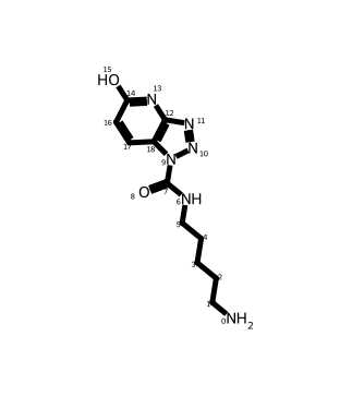 NCCCCCNC(=O)n1nnc2nc(O)ccc21